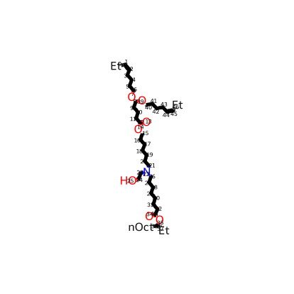 CC/C=C\CCCCOC(CCCC(=O)OCCCCCCCN(CCO)CCCCCCCC(=O)OC(CC)CCCCCCCC)OCCCC/C=C\CC